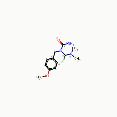 COc1ccc(CN(C(N)=O)C(F)N(C)C)cc1